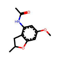 COc1cc(NC(C)=O)c2c(c1)OC(C)C2